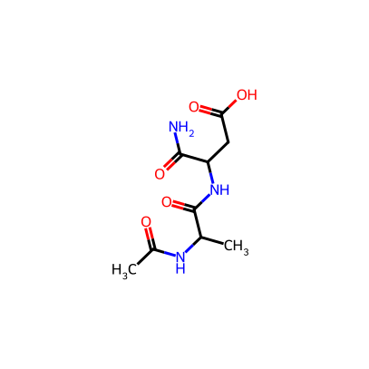 CC(=O)NC(C)C(=O)NC(CC(=O)O)C(N)=O